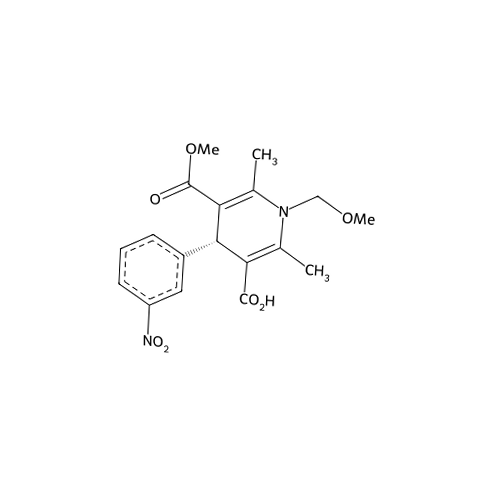 COCN1C(C)=C(C(=O)O)[C@H](c2cccc([N+](=O)[O-])c2)C(C(=O)OC)=C1C